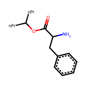 CCCC(CCC)OC(=O)C(N)Cc1ccccc1